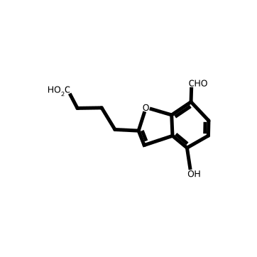 O=Cc1ccc(O)c2cc(CCCC(=O)O)oc12